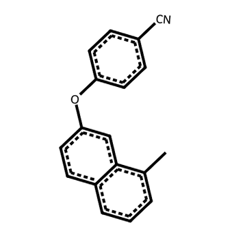 Cc1cccc2ccc(Oc3ccc(C#N)cc3)cc12